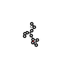 c1cc(-c2ccc(N(c3ccc(-c4cccc5c4oc4ccccc45)cc3)c3ccc4ccc5ccccc5c4c3)cc2)cc(-c2ccccc2-n2c3ccccc3c3ccccc32)c1